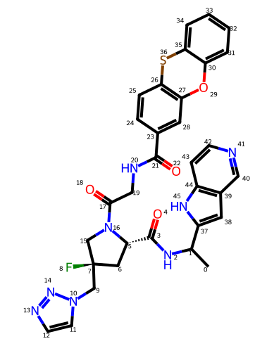 CC(NC(=O)[C@@H]1C[C@](F)(Cn2ccnn2)CN1C(=O)CNC(=O)c1ccc2c(c1)Oc1ccccc1S2)c1cc2cnccc2[nH]1